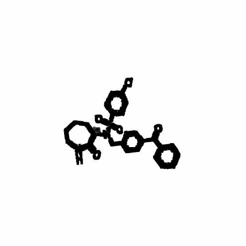 O=C(c1ccccc1)c1ccc(CN([C@@H]2CCCCNC2=O)S(=O)(=O)c2ccc(Cl)cc2)cc1